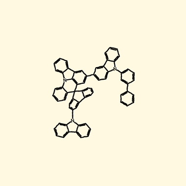 c1ccc(-c2cccc(-n3c4ccccc4c4cc(-c5cc6c7c(c5)c5ccccc5n7-c5ccccc5C65c6ccccc6-c6cc(-n7c8ccccc8c8ccccc87)ccc65)ccc43)c2)cc1